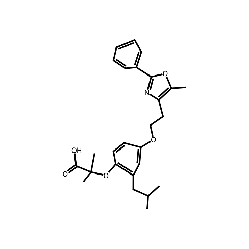 Cc1oc(-c2ccccc2)nc1CCOc1ccc(OC(C)(C)C(=O)O)c(CC(C)C)c1